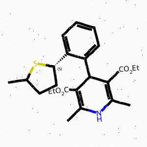 CCOC(=O)C1=C(C)NC(C)=C(C(=O)OCC)C1c1ccccc1[C@@H]1CCC(C)S1